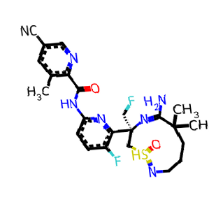 Cc1cc(C#N)cnc1C(=O)Nc1ccc(F)c([C@]2(CF)C/[SH](=O)=N/CCCC(C)(C)/C(N)=N\2)n1